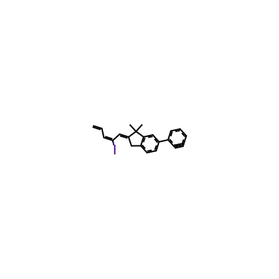 C=C/C=C(I)\C=C1/Cc2ccc(-c3c#cccc3)cc2C1(C)C